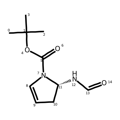 CC(C)(C)OC(=O)N1C=CC[C@H]1NC=O